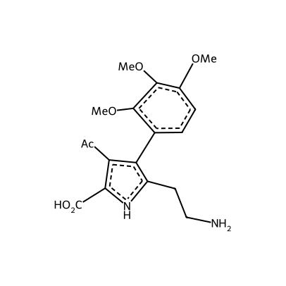 COc1ccc(-c2c(CCN)[nH]c(C(=O)O)c2C(C)=O)c(OC)c1OC